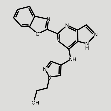 OCCn1cc(Nc2nc(-c3nc4ccccc4o3)nc3cn[nH]c23)cn1